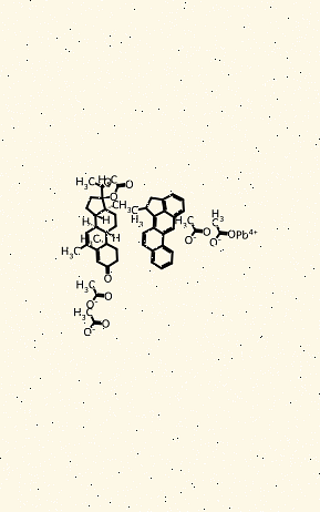 CC(=O)O[C@]1(C(C)=O)CC[C@H]2[C@@H]3C=C(C)C4=CC(=O)CC[C@]4(C)[C@H]3CC[C@@]21C.CC(=O)[O-].CC(=O)[O-].CC(=O)[O-].CC(=O)[O-].CC1Cc2cccc3cc4c(ccc5ccccc54)c1c23.[Pb+4]